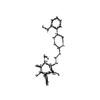 COc1ccccc1N1CCN(CCCc2c(N)c(=O)n(C)c(=O)n2C)CC1